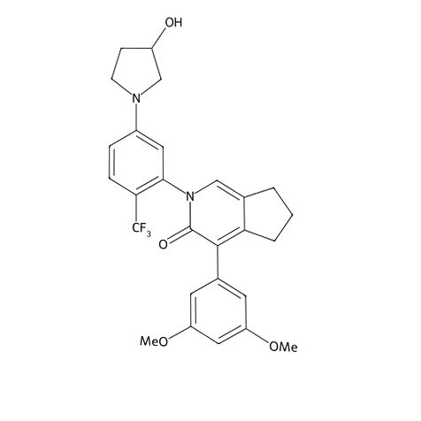 COc1cc(OC)cc(-c2c3c(cn(-c4cc(N5CCC(O)C5)ccc4C(F)(F)F)c2=O)CCC3)c1